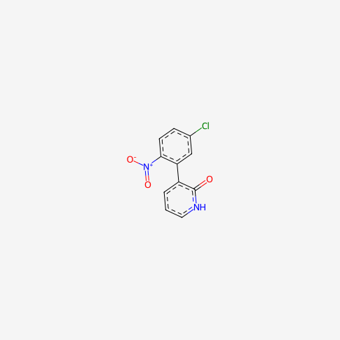 O=c1[nH]cccc1-c1cc(Cl)ccc1[N+](=O)[O-]